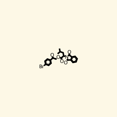 CC(C)CC(C(=O)OCC(=O)c1ccc(Br)cc1)N1C(=O)c2ccccc2C1=O